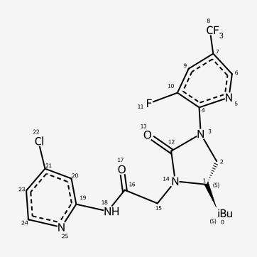 CC[C@H](C)[C@H]1CN(c2ncc(C(F)(F)F)cc2F)C(=O)N1CC(=O)Nc1cc(Cl)ccn1